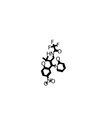 CC1(C)Oc2ccc([N+](=O)[O-])cc2C(n2ccccc2=O)=C1CNC(=O)C(F)(F)F